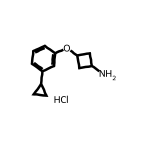 Cl.NC1CC(Oc2cccc(C3CC3)c2)C1